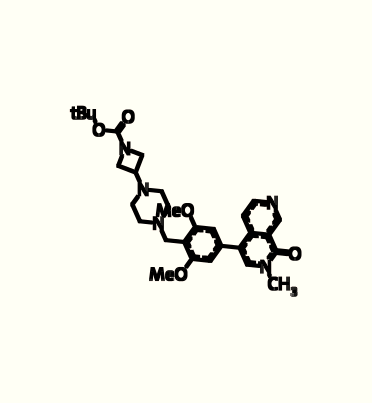 COc1cc(-c2cn(C)c(=O)c3cnccc23)cc(OC)c1CN1CCN(C2CN(C(=O)OC(C)(C)C)C2)CC1